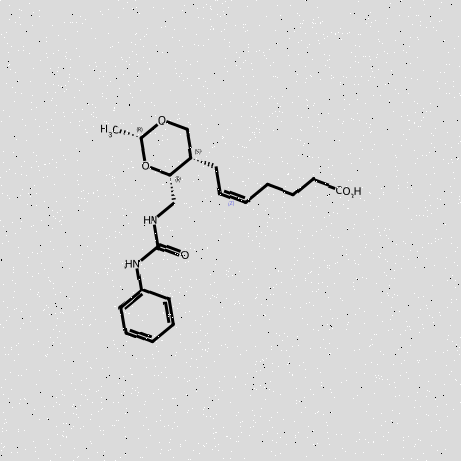 C[C@@H]1OC[C@H](C/C=C\CCCC(=O)O)[C@H](CNC(=O)Nc2ccccc2)O1